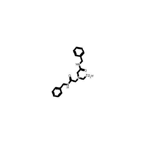 O=C(O)CN(CC(=O)NCc1ccccc1)CC(=O)NCc1ccccc1